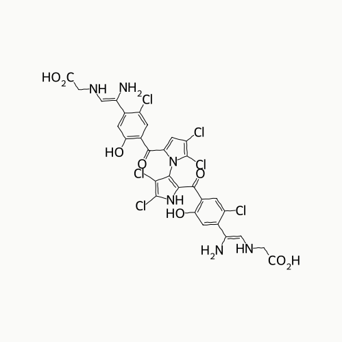 N/C(=C\NCC(=O)O)c1cc(O)c(C(=O)c2[nH]c(Cl)c(Cl)c2-n2c(C(=O)c3cc(Cl)c(/C(N)=C/NCC(=O)O)cc3O)cc(Cl)c2Cl)cc1Cl